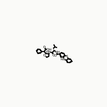 CC(C)C[C@H](NC(=O)c1ccc2c(c1)Nc1ccccc1S2)C(=O)NC1CCOC1C(C(=O)O)c1ccccc1